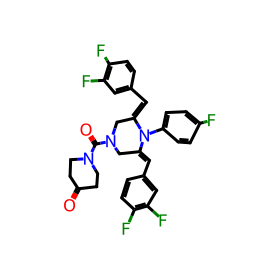 O=C1CCN(C(=O)N2C/C(=C\c3ccc(F)c(F)c3)N(c3ccc(F)cc3)/C(=C/c3ccc(F)c(F)c3)C2)CC1